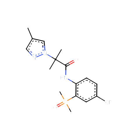 Cc1cnn(C(C)(C)C(=O)Nc2ccc(C(F)(F)F)cc2P(C)(C)=O)c1